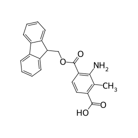 Cc1c(C(=O)O)ccc(C(=O)OCC2c3ccccc3-c3ccccc32)c1N